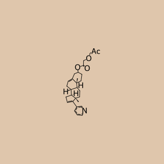 CC(=O)COCC(=O)O[C@H]1CC[C@@]2(C)C(=CC[C@@H]3[C@@H]2CC[C@]2(C)C(c4cccnc4)=CC[C@@H]32)C1